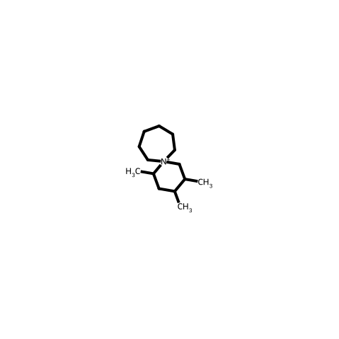 CC1CC(C)[N+]2(CCCCCC2)CC1C